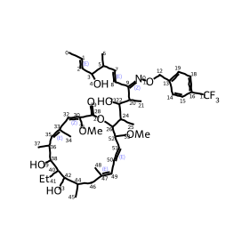 C/C=C/C(O)C(C)/C=C/C(=N/OCc1ccc(C(F)(F)F)cc1)C(C)C(O)C(C)C1OC(=O)/C(OC)=C/C(C)=C/C(C)C(O)C(CC)C(O)C(C)C/C(C)=C/C=C/C1OC